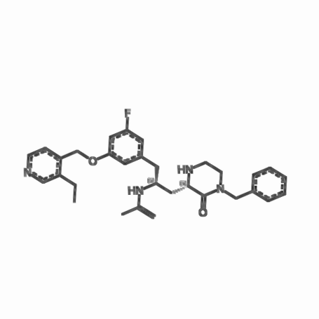 C=C(C)N[C@@H](Cc1cc(F)cc(OCc2ccncc2CC)c1)C[C@@H]1NCCN(Cc2ccccc2)C1=O